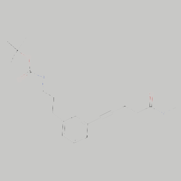 CNC(=O)CCC#Cc1cccc(CCCNC(=O)OC(C)(C)C)c1